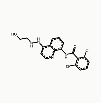 O=C(Nc1cccc2c(NNCCO)ccnc12)c1c(Cl)cccc1Cl